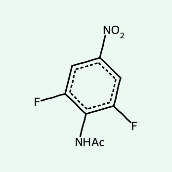 CC(=O)Nc1c(F)cc([N+](=O)[O-])cc1F